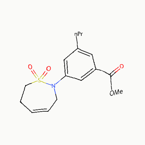 CCCc1cc(C(=O)OC)cc(N2CC=CCCS2(=O)=O)c1